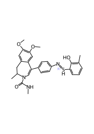 CNC(=O)N1C=C(c2ccc(/N=[SH]/c3cccc(C)c3O)cc2)c2cc(OC)c(OC)cc2CC1C